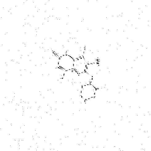 Cc1cc(=O)oc2c(Cl)c(O)c(CN3CCOCC3)cc12.Cl